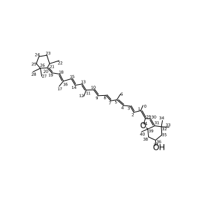 CC(/C=C/C=C(C)/C=C/C=C/C(C)=C/C=C/C(C)=C/C=C1\C(C)CCCC1(C)C)=C1\C=C2C(C)(C)CC(O)CC2(C)O1